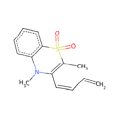 C=C/C=C\C1=C(C)S(=O)(=O)c2ccccc2N1C